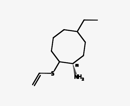 C=CSC1CCCC(CC)CC[C@@H]1N